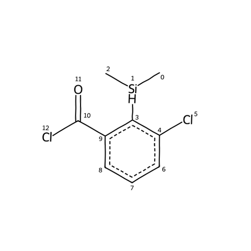 C[SiH](C)c1c(Cl)cccc1C(=O)Cl